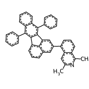 Cc1cc2c(-c3cc4c5c(cccc5c3)-c3c-4c(-c4ccccc4)c4ccccc4c3-c3ccccc3)cccc2c(C)n1